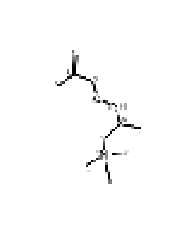 C=C(C)CONC(C)C[N+](C)(C)C